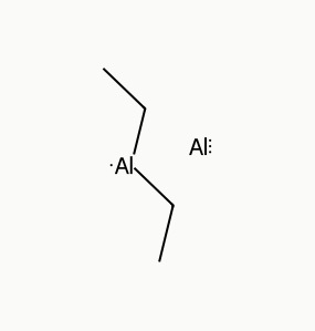 C[CH2][Al][CH2]C.[Al]